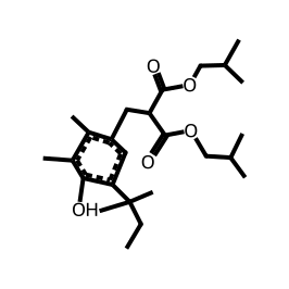 CCC(C)(C)c1cc(CC(C(=O)OCC(C)C)C(=O)OCC(C)C)c(C)c(C)c1O